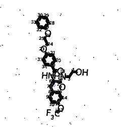 O=C(NCCO)/C(=C\c1ccc(OC(F)(F)F)cc1)NC(=O)c1ccc(OCCOc2ccccc2)cc1